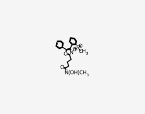 CN(O)C(=O)CCCc1nc(-c2ccccc2S(C)(=O)=O)c(-c2ccccc2)o1